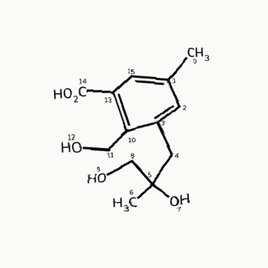 Cc1cc(CC(C)(O)CO)c(CO)c(C(=O)O)c1